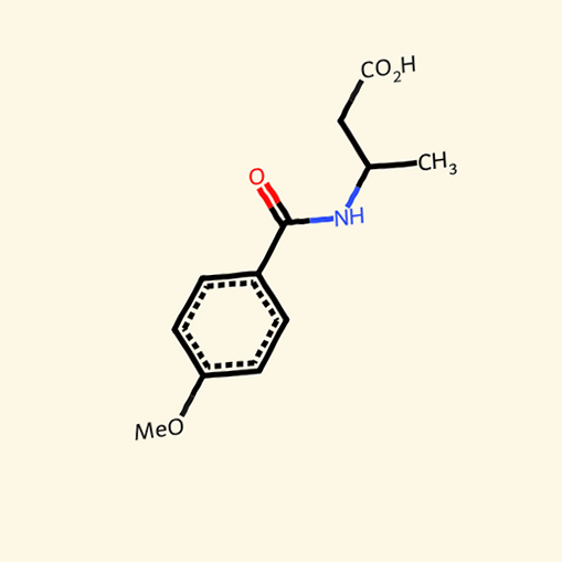 COc1ccc(C(=O)NC(C)CC(=O)O)cc1